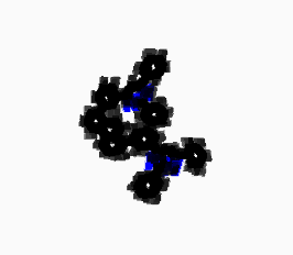 c1ccc(-c2cc(-c3cccc(-c4cccc5c4ccc4c(-c6cccc(-c7cc(-c8ccccc8)nc(-c8ccccc8)n7)c6)cccc45)c3)nc(-c3ccccc3)n2)cc1